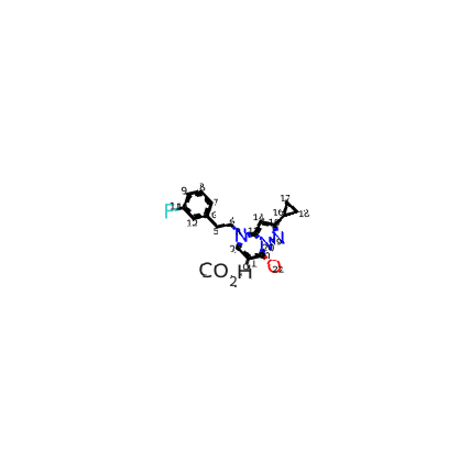 O=C(O)c1cn(CCc2cccc(F)c2)c2cc(C3CC3)nn2c1=O